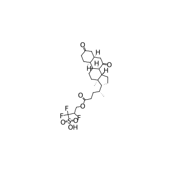 C[C@H](CCC(=O)OCC(F)C(F)(F)S(=O)(=O)O)[C@H]1CC[C@H]2[C@@H]3C(=O)C[C@@H]4CC(=O)CC[C@]4(C)[C@H]3CC[C@]12C